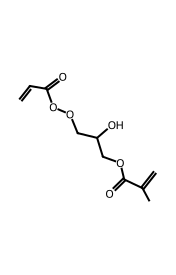 C=CC(=O)OOCC(O)COC(=O)C(=C)C